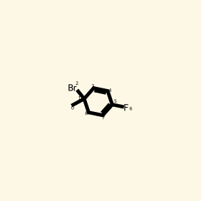 CC1(Br)C=CC(F)=CC1